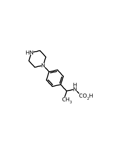 CC(NC(=O)O)c1ccc(N2CCNCC2)cc1